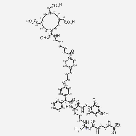 CCC(=O)NCCNC(=O)/N=C(/N)NCCC[C@@H](NC(=O)C(c1ccccc1)c1ccc(OCCCN2CCN(C(=O)CCCCCNC(C=O)N3CCN(CC(=O)O)CCN(CC(=O)O)CCN(CC(=O)O)CC3)CC2)cc1)C(=O)NCc1c(F)cc(O)cc1F